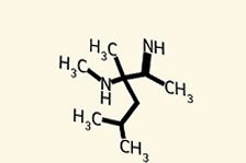 CNC(C)(CC(C)C)C(C)=N